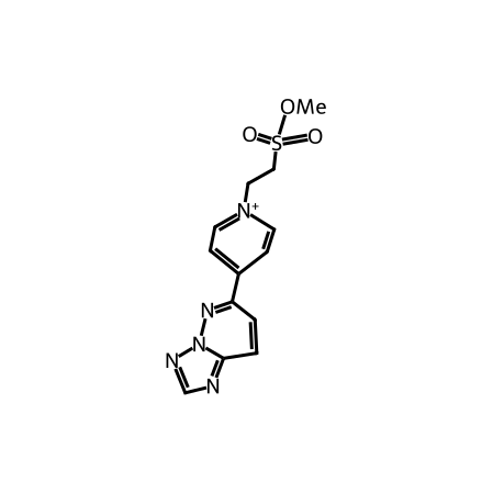 COS(=O)(=O)CC[n+]1ccc(-c2ccc3ncnn3n2)cc1